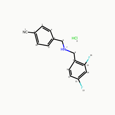 Cl.N#Cc1ccc(CNCc2ccc(F)cc2F)cc1